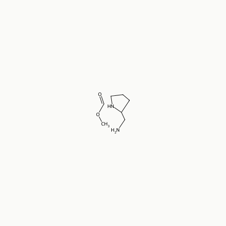 COC=O.NCC1CCCN1